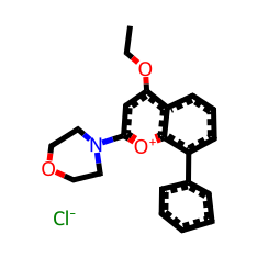 CCOc1cc(N2CCOCC2)[o+]c2c(-c3ccccc3)cccc12.[Cl-]